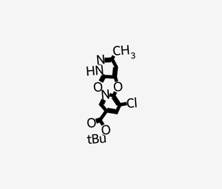 Cc1cc(Oc2ncc(C(=O)OC(C)(C)C)cc2Cl)c(=O)[nH]n1